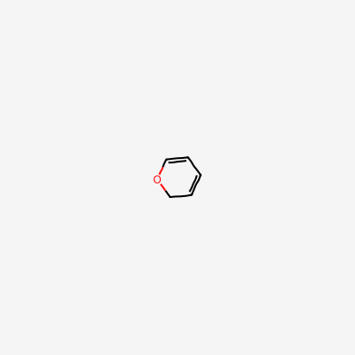 C1=CCOC=C1